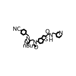 CCCCC(=O)N(Cc1cncn1Cc1ccc(C#N)cc1)c1ccc2sc(C(=O)NCc3cccnc3)cc2c1